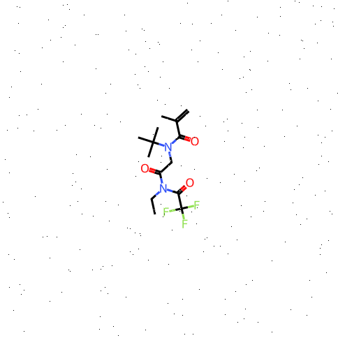 C=C(C)C(=O)N(CC(=O)N(CC)C(=O)C(F)(F)F)C(C)(C)C